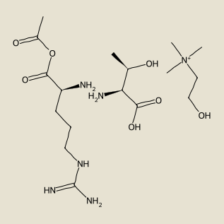 CC(=O)OC(=O)[C@@H](N)CCCNC(=N)N.C[C@@H](O)[C@H](N)C(=O)O.C[N+](C)(C)CCO